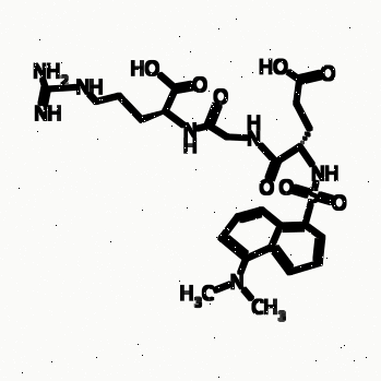 CN(C)c1cccc2c(S(=O)(=O)N[C@@H](CCC(=O)O)C(=O)NCC(=O)N[C@@H](CCCNC(=N)N)C(=O)O)cccc12